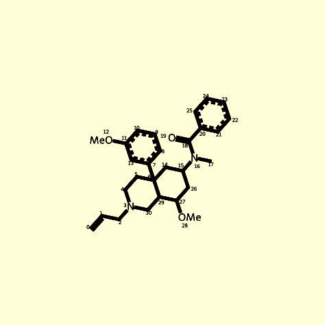 C=CCN1CCC2(c3cccc(OC)c3)CC(N(C)C(=O)c3ccccc3)CC(OC)C2C1